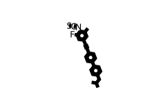 Cc1cc(C#Cc2ccc(-c3ccc(CC(C)C)cc3)cc2)cc(F)c1N=C=S